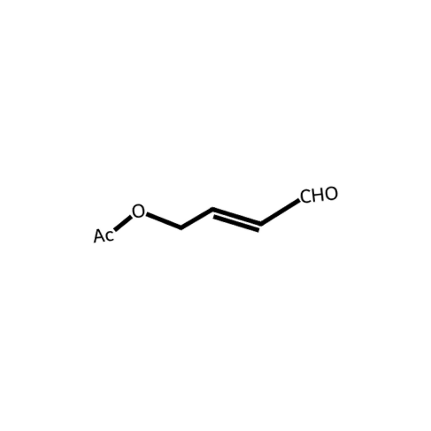 CC(=O)OCC=CC=O